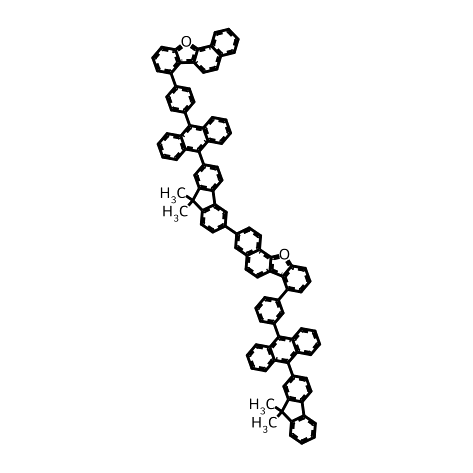 CC1(C)c2ccccc2-c2ccc(-c3c4ccccc4c(-c4cccc(-c5cccc6oc7c8ccc(-c9ccc%10c(c9)-c9ccc(-c%11c%12ccccc%12c(-c%12ccc(-c%13cccc%14oc%15c%16ccccc%16ccc%15c%13%14)cc%12)c%12ccccc%11%12)cc9C%10(C)C)cc8ccc7c56)c4)c4ccccc34)cc21